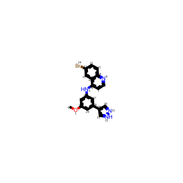 COc1cc(Nc2ccnc3ccc(Br)cc23)cc(-c2cn[nH]c2)c1